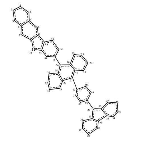 c1ccc2cc3c(cc2c1)oc1cc(-c2c4ccccc4c(-c4ccc(-n5c6ccccc6c6ccccc65)cc4)c4ccccc24)ccc13